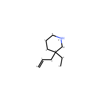 C=CCC1(CC)CCCNC1